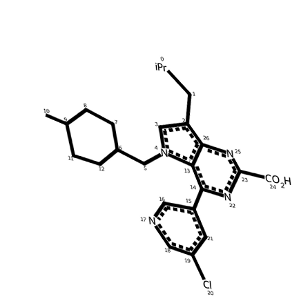 CC(C)Cc1cn(CC2CCC(C)CC2)c2c(-c3cncc(Cl)c3)nc(C(=O)O)nc12